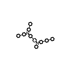 C1=CC(N(c2ccccc2)c2ccc(-c3ccc(-c4ccccc4)cc3)cc2)CC=C1c1ccc(N(c2ccc(-c3ccccc3)cc2)c2ccc(-c3ccccc3)cc2)cc1